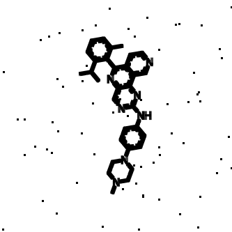 Cc1cccc(C(C)C)c1-c1nc2cnc(Nc3ccc(N4CCN(C)CC4)cc3)nc2c2cnccc12